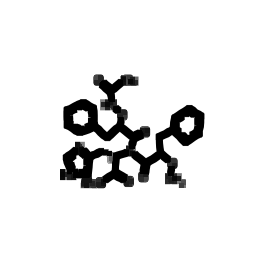 COC(=O)[C@H](Cc1c[nH]cn1)N(C(=O)C(Cc1ccccc1)ON)C(=O)C(Cc1ccccc1)ONC(=O)C(C)(C)C